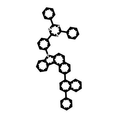 c1ccc(-c2nc(-c3ccccc3)nc(-c3cccc(-n4c5ccccc5c5c6cc(-c7ccc(-c8ccccc8)c8ccccc78)ccc6ccc54)c3)n2)cc1